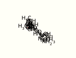 CC[C@@H](NC(=O)[C@@H]1C[C@H](NC(=O)CCOCCOCCC(=O)NCCn2nc3c(c2C#N)-c2cnc(N)c(c2)O[C@H](C)c2cc(F)ccc2C(=O)N(C)C3)CN1C(=O)[C@@H](NC(=O)[C@H](C)NC)C(C)(C)C)c1ccccc1